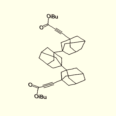 CC(C)COC(=O)C#CC12CC3CC(C1)CC(C14CC5CC(C1)CC(C16CC7CC(CC(C#CC(=O)OCC(C)C)(C7)C1)C6)(C5)C4)(C3)C2